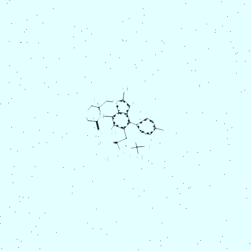 COC(=O)[C@@H](OC(C)(C)C)c1c(C)c2c3c(cc(C)n3C[C@H]3COCC(=O)N23)c1-c1ccc(Cl)cc1